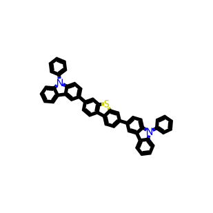 c1ccc(-n2c3ccccc3c3cc(-c4ccc5c(c4)sc4cc(-c6ccc7c(c6)c6ccccc6n7-c6ccccc6)ccc45)ccc32)cc1